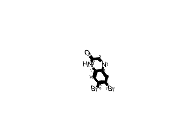 O=c1cnc2cc(Br)c(Br)cc2[nH]1